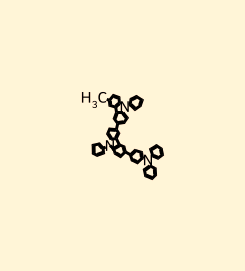 Cc1ccc2c(c1)c1cc(-c3ccc4c(c3)c3cc(-c5ccc(N(c6ccccc6)c6ccccc6)cc5)ccc3n4-c3ccccc3)ccc1n2-c1ccccc1